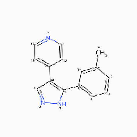 Cc1cccc(-c2[nH]ncc2-c2ccncc2)c1